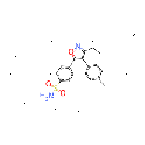 CCc1noc(-c2ccc(S(N)(=O)=O)cc2)c1-c1ccc(C)cc1